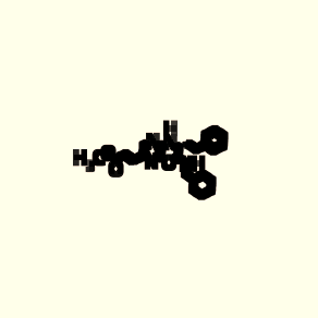 COC(=O)/C=C/c1cnc(N[C@H](CCc2ccccc2)C(=O)NCC2CCCCC2)cn1